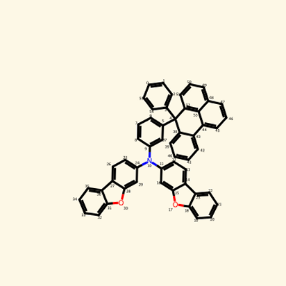 c1ccc(C2(c3cccc(N(c4ccc5c(c4)oc4ccccc45)c4ccc5c(c4)oc4ccccc45)c3)c3ccccc3-c3cccc4cccc2c34)cc1